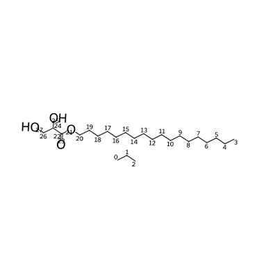 CCC.CCCCCCCCCCCCCCCCCCOC(=O)C(O)CO